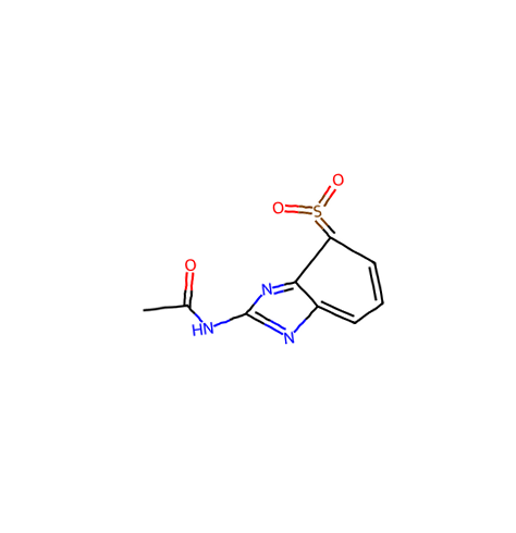 CC(=O)NC1=NC2=CC=CC(=S(=O)=O)C2=N1